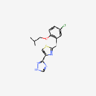 CC(C)COc1ccc(Cl)cc1Cc1nc(-c2nc[nH]n2)cs1